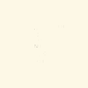 Cc1ccc(S(=O)(=O)c2ccccc2NCC(=O)O)cc1